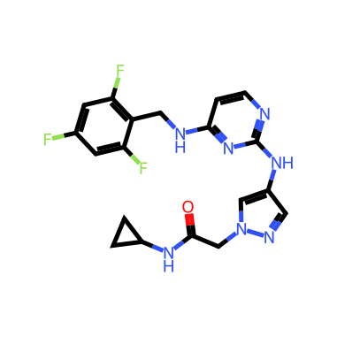 O=C(Cn1cc(Nc2nccc(NCc3c(F)cc(F)cc3F)n2)cn1)NC1CC1